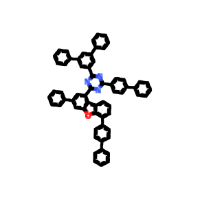 c1ccc(-c2ccc(-c3nc(-c4cc(-c5ccccc5)cc(-c5ccccc5)c4)nc(-c4cc(-c5ccccc5)cc5oc6c(-c7ccc(-c8ccccc8)cc7)cccc6c45)n3)cc2)cc1